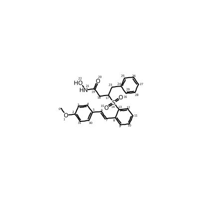 COc1ccc(C=Cc2ccccc2S(=O)(=O)C(CC(=O)NO)Cc2ccccc2)cc1